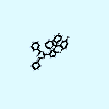 Brc1ccc2c(c1)C(c1ccccc1)(c1ccccc1)c1cc(-c3nc(-c4ccccc4)nc(-c4ccccc4)n3)ccc1O2